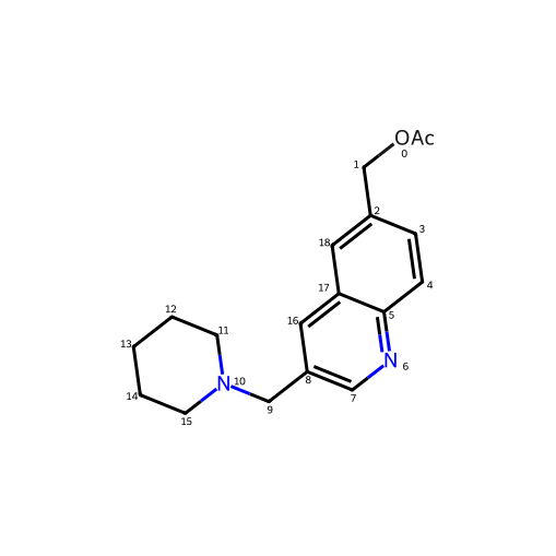 CC(=O)OCc1ccc2ncc(CN3CCCCC3)cc2c1